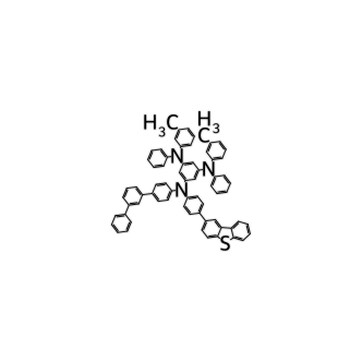 Cc1cccc(N(c2ccccc2)c2cc(N(c3ccc(-c4cccc(-c5ccccc5)c4)cc3)c3ccc(-c4ccc5sc6ccccc6c5c4)cc3)cc(N(c3ccccc3)c3cccc(C)c3)c2)c1